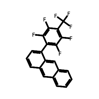 Fc1c(F)c(C(F)(F)F)c(F)c(F)c1-c1cccc2cc3ccccc3cc12